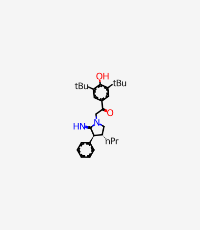 CCC[C@H]1CN(CC(=O)c2cc(C(C)(C)C)c(O)c(C(C)(C)C)c2)C(=N)[C@@H]1c1ccccc1